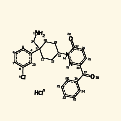 Cl.NCC1(c2cccc(Cl)c2)CCC(n2nc(C(=O)c3ccccc3)ccc2=O)CC1